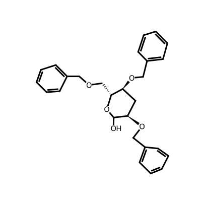 OC1O[C@H](COCc2ccccc2)[C@@H](OCc2ccccc2)C[C@H]1OCc1ccccc1